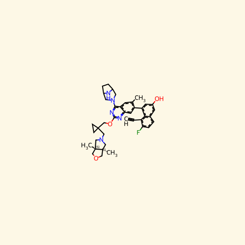 C#Cc1c(F)ccc2cc(O)cc(-c3cc4nc(OCC5(CN6C[C@@]7(C)COC[C@]7(C)C6)CC5)nc(N5CC6CCC(C5)N6)c4cc3C)c12